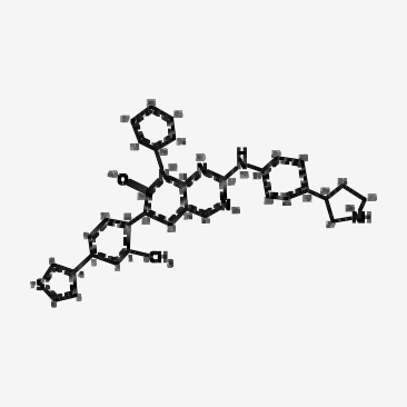 Cc1cc(-c2ccsc2)ccc1-c1cc2cnc(Nc3ccc(C4CCNC4)cc3)nc2n(-c2ccccc2)c1=O